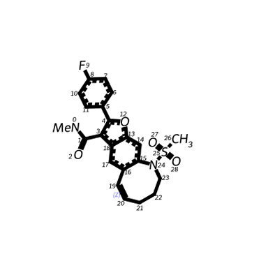 CNC(=O)c1c(-c2ccc(F)cc2)oc2cc3c(cc12)/C=C\CCCN3S(C)(=O)=O